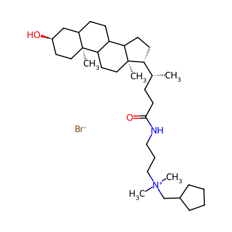 C[C@H](CCC(=O)NCCC[N+](C)(C)CC1CCCC1)[C@H]1CCC2C3CCC4C[C@H](O)CC[C@]4(C)C3CC[C@@]21C.[Br-]